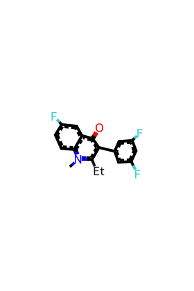 CCc1c(-c2cc(F)cc(F)c2)c(=O)c2cc(F)ccc2n1C